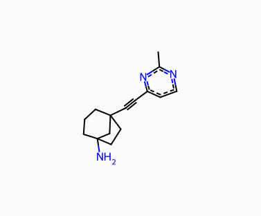 Cc1nccc(C#CC23CCCC(N)(CC2)C3)n1